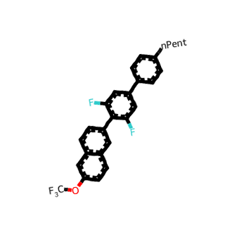 CCCCCc1ccc(-c2cc(F)c(-c3ccc4cc(OC(F)(F)F)ccc4c3)c(F)c2)cc1